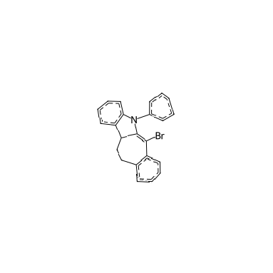 BrC1=C2C(CCc3ccccc31)c1ccccc1N2c1ccccc1